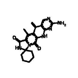 C=C1c2cnc(N)nc2Nc2c1c(C)c1n(c2=O)C2(CCCCC2)NC1=O